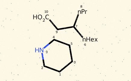 C1CCNCC1.CCCCCCC(CCC)CC(=O)O